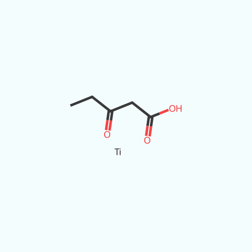 CCC(=O)CC(=O)O.[Ti]